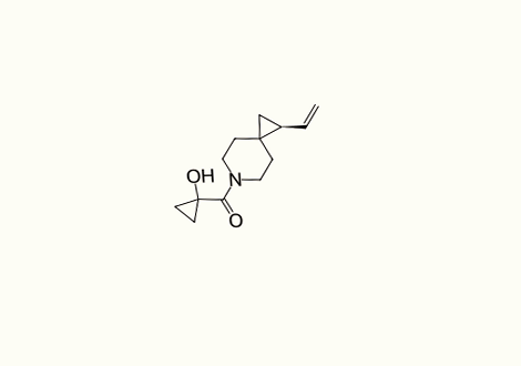 C=C[C@@H]1CC12CCN(C(=O)C1(O)CC1)CC2